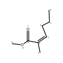 CCCC=C(C)C(=O)OC